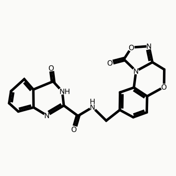 O=C(NCc1ccc2c(c1)-n1c(noc1=O)CO2)c1nc2ccccc2c(=O)[nH]1